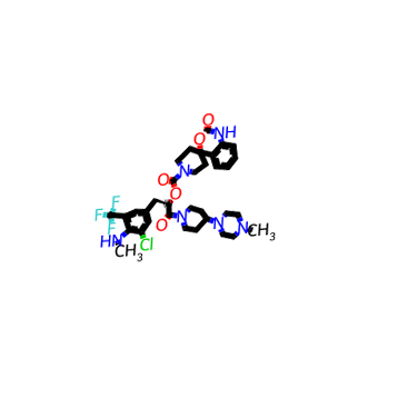 CNc1c(Cl)cc(C[C@@H](OC(=O)N2CCC3(CC2)OC(=O)Nc2ccccc23)C(=O)N2CCC(N3CCN(C)CC3)CC2)cc1C(F)(F)F